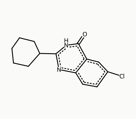 O=c1[nH]c(C2CCCCC2)nc2ccc(Cl)cc12